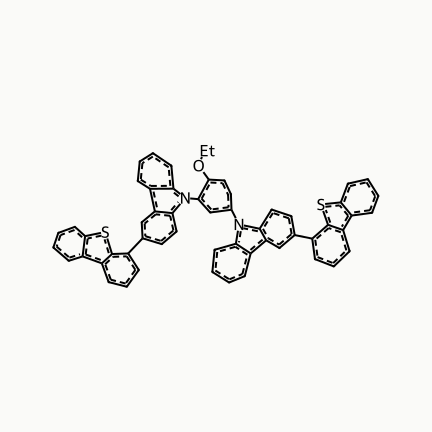 CCOc1ccc(-n2c3ccccc3c3cc(-c4cccc5c4sc4ccccc45)ccc32)cc1-n1c2ccccc2c2cc(-c3cccc4c3sc3ccccc34)ccc21